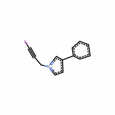 IC#CCn1ccc(-c2ccccc2)c1